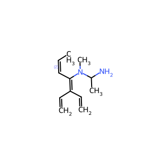 C=CC(C=C)=C(/C=C\C)N(C)C(C)N